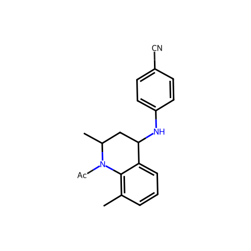 CC(=O)N1c2c(C)cccc2C(Nc2ccc(C#N)cc2)CC1C